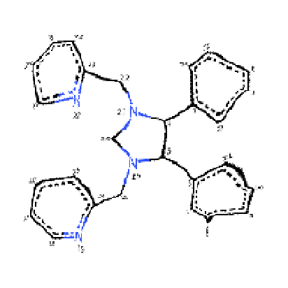 c1ccc(C2C(c3ccccc3)N(Cc3ccccn3)CN2Cc2ccccn2)cc1